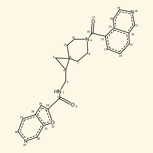 O=C(NCC1CC12CCN(C(=O)c1cccc3cnccc13)CC2)c1cc2ccncc2o1